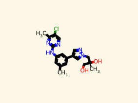 Cc1cc(Nc2ncc(Cl)c(C)n2)cc(-c2cnn(C[C@](C)(O)CO)c2)c1